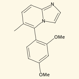 COc1ccc(-c2c(C)ccc3nccn23)c(OC)c1